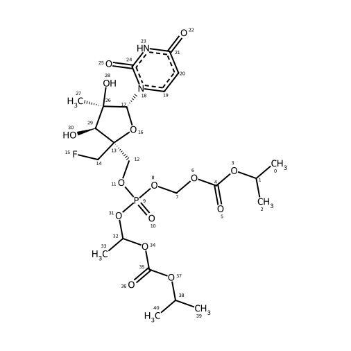 CC(C)OC(=O)OCOP(=O)(OC[C@@]1(CF)O[C@@H](n2ccc(=O)[nH]c2=O)[C@](C)(O)[C@@H]1O)OC(C)OC(=O)OC(C)C